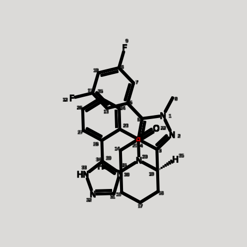 Cn1nc2c(c1-c1cc(F)cc(F)c1)C[C@@H]1CCC[C@H]2N1C(=O)c1ccccc1-c1ncn[nH]1